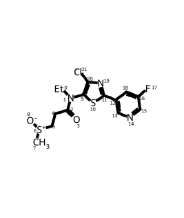 CCN(C(=O)CC[S+](C)[O-])c1sc(-c2cncc(F)c2)nc1Cl